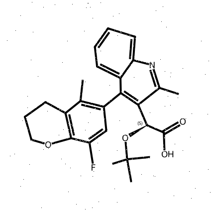 Cc1nc2ccccc2c(-c2cc(F)c3c(c2C)CCCO3)c1[C@H](OC(C)(C)C)C(=O)O